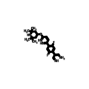 CC1(C)CC(OC(=N)/C=C\C(=N)c2cc(F)c(/C(C=N)=C/N)cc2F)CC(C)(C)N1